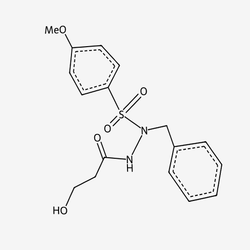 COc1ccc(S(=O)(=O)N(Cc2ccccc2)NC(=O)CCO)cc1